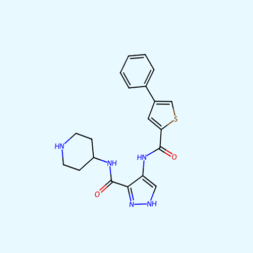 O=C(Nc1c[nH]nc1C(=O)NC1CCNCC1)c1cc(-c2ccccc2)cs1